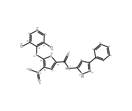 O=C(Nc1cc(-c2ccccc2)n[nH]1)c1cc([N+](=O)[O-])c(Sc2c(Cl)cncc2Cl)s1